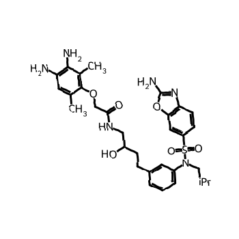 Cc1cc(N)c(N)c(C)c1OCC(=O)NCC(O)CCc1cccc(N(CC(C)C)S(=O)(=O)c2ccc3nc(N)oc3c2)c1